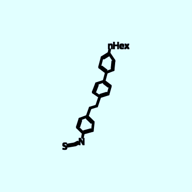 CCCCCCc1ccc(-c2ccc(CCc3ccc(N=C=S)cc3)cc2)cc1